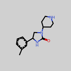 Cc1cccc(C2CN(C3CCNCC3)C(=O)N2)c1